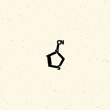 N#CN1[C]=CSC1